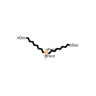 CCCCCCCCCCCCCCCCCC[P+](CCCCC)(CCCCC)CCCCCCCCCCCCCCCCCC.[I-]